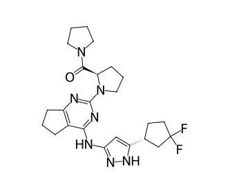 O=C([C@H]1CCCN1c1nc2c(c(Nc3cc([C@@H]4CCC(F)(F)C4)[nH]n3)n1)CCC2)N1CCCC1